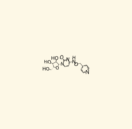 O=c1nc(NOCc2ccncc2)ccn1[C@@H]1O[C@H](CO)[C@@H](O)[C@H]1O